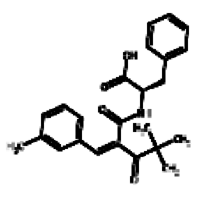 Cc1cccc(/C=C(\C(=O)N[C@H](Cc2ccccc2)C(=O)O)C(=O)C(C)(C)C)c1